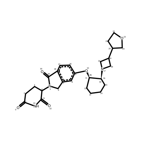 O=C1CCC(N2Cc3cc(O[C@@H]4CCCC[C@@H]4N4CC(C5CCOC5)C4)ccc3C2=O)C(=O)N1